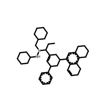 CCC(C1=CC(c2ccccc2)CC(c2cc3c(c4c2C=CCC4)CCCC3)C1)N(CC1CCCCC1)NC1CCCCC1